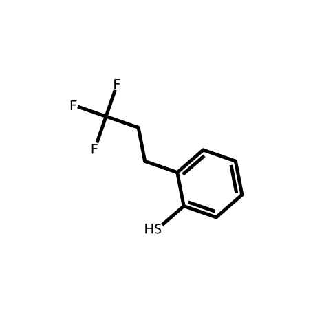 FC(F)(F)CCc1ccccc1S